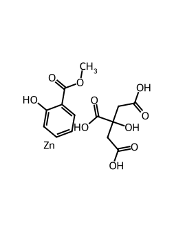 COC(=O)c1ccccc1O.O=C(O)CC(O)(CC(=O)O)C(=O)O.[Zn]